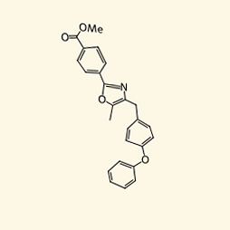 COC(=O)c1ccc(-c2nc(Cc3ccc(Oc4ccccc4)cc3)c(C)o2)cc1